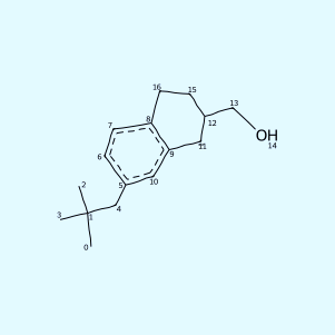 CC(C)(C)Cc1ccc2c(c1)[C]C(CO)CC2